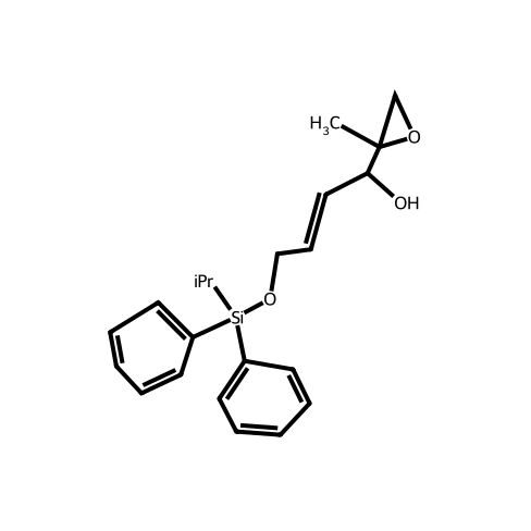 CC(C)[Si](OC/C=C/C(O)C1(C)CO1)(c1ccccc1)c1ccccc1